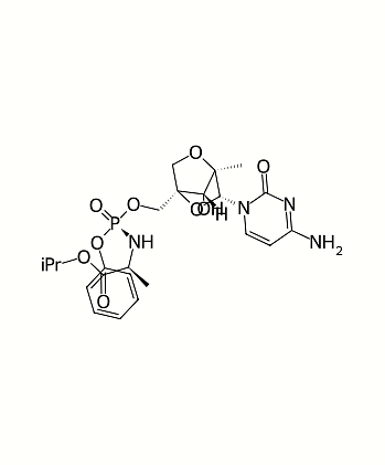 CC(C)OC(=O)[C@H](C)N[P@@](=O)(OC[C@]12CO[C@](C)([C@@H]1O)[C@H](n1ccc(N)nc1=O)O2)Oc1ccccc1